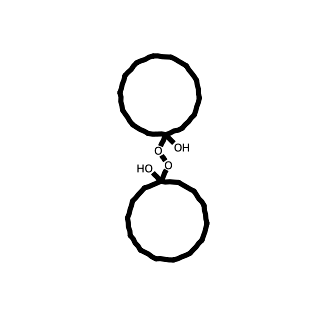 OC1(OOC2(O)CCCCCCCCCCCCC2)CCCCCCCCCCCCC1